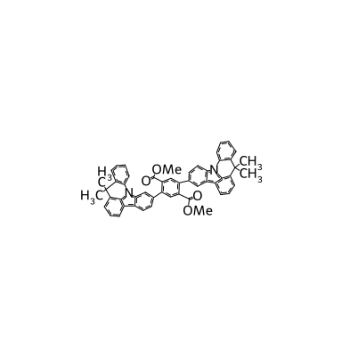 COC(=O)c1cc(-c2ccc3c4cccc5c4n(c3c2)-c2ccccc2C5(C)C)c(C(=O)OC)cc1-c1ccc2c(c1)c1cccc3c1n2-c1ccccc1C3(C)C